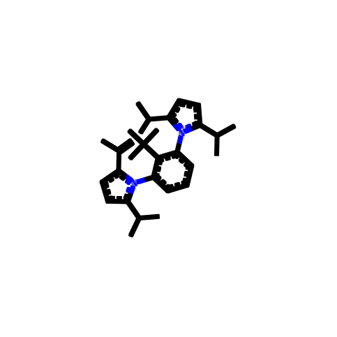 C=C(C)c1ccc(C(C)C)n1-c1cccc(-n2c(C(C)C)ccc2C(C)C)c1C(C)(C)C